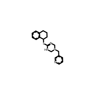 c1cncc(CN2CN=C(SC3CCCc4ccccc43)NC2)c1